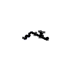 CC/C=C\C/C=C\C/C=C\C/C=C\C/C=C\CCCC(=O)NCCCCC(NC(=O)C/C=C/c1cccnc1)C(=O)OC(CO)CO